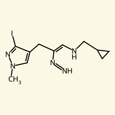 Cn1cc(C/C(=C/NCC2CC2)N=N)c(I)n1